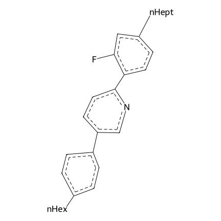 CCCCCCCc1ccc(-c2ccc(-c3ccc(CCCCCC)cc3)cn2)c(F)c1